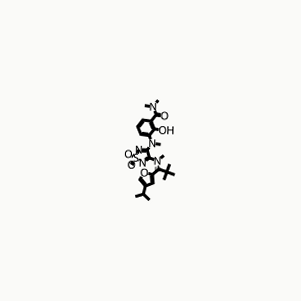 CC(C)c1coc([C@H](N(C)C2=NS(=O)(=O)N=C2N(C)c2cccc(C(=O)N(C)C)c2O)C(C)(C)C)c1